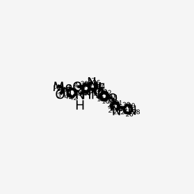 C=CC(=O)N1CCC(Nc2cc3c(Nc4ccc(Oc5ccnc(C6CCN(C)CC6)c5)cc4F)ncnc3cc2OC)CC1